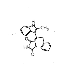 Cc1[nH]c2ccccc2c1C(Cc1ccccc1)=C1SC(=O)NC1=O